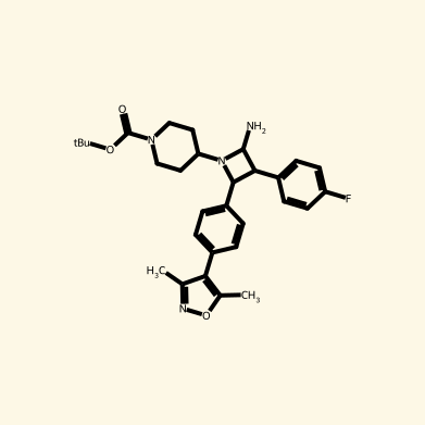 Cc1noc(C)c1-c1ccc(C2C(c3ccc(F)cc3)C(N)N2C2CCN(C(=O)OC(C)(C)C)CC2)cc1